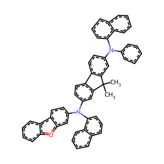 CC1(C)c2cc(N(c3ccccc3)c3cccc4ccccc34)ccc2-c2ccc(N(c3ccc4c(c3)oc3ccccc34)c3cccc4ccccc34)cc21